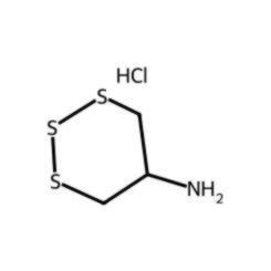 Cl.NC1CSSSC1